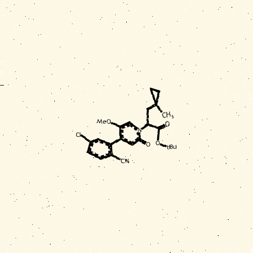 COc1cn(C(CC2(C)CC2)C(=O)OC(C)(C)C)c(=O)cc1-c1cc(Cl)ccc1C#N